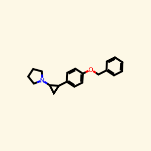 c1ccc(COc2ccc(C3CC3N3CCCC3)cc2)cc1